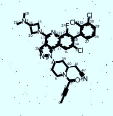 CC#CC(=O)N1CC[C@H](n2ncc3c(N4CC(N(C)C)C4)nc4c(F)c(-c5cccc(Cl)c5Cl)c(Cl)cc4c32)C[C@H]1CC#N